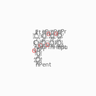 CCCC1CCC([C@H]2CC[C@H](CC)CC2)CC1=O.CCCC1CCC([C@H]2CC[C@H](CCC)CC2)CC1=O.CCCCCCC[C@H]1CC[C@H](C2CCC(CCC)C(=O)C2)CC1.CCCCC[C@H]1CC[C@H](C2CCC(CCC)C(=O)C2)CC1.CCCC[C@H]1CC[C@H](C2CCC(CCC)C(=O)C2)CC1